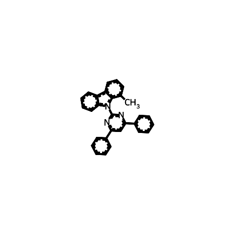 Cc1cccc2c3ccccc3n(-c3nc(-c4ccccc4)cc(-c4ccccc4)n3)c12